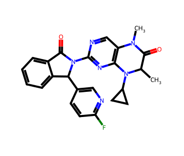 CC1C(=O)N(C)c2cnc(N3C(=O)c4ccccc4C3c3ccc(F)nc3)nc2N1C1CC1